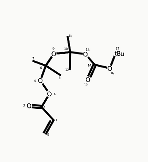 C=CC(=O)OOC(C)(C)OC(C)(C)OC(=O)OC(C)(C)C